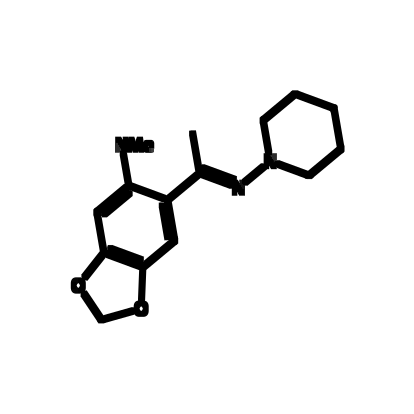 CNc1cc2c(cc1/C(C)=N/N1CCCCC1)OCO2